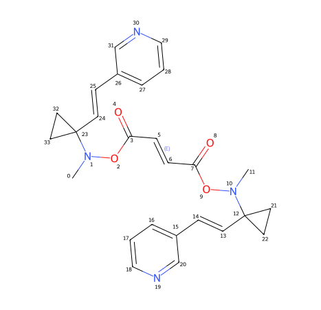 CN(OC(=O)/C=C/C(=O)ON(C)C1(C=Cc2cccnc2)CC1)C1(C=Cc2cccnc2)CC1